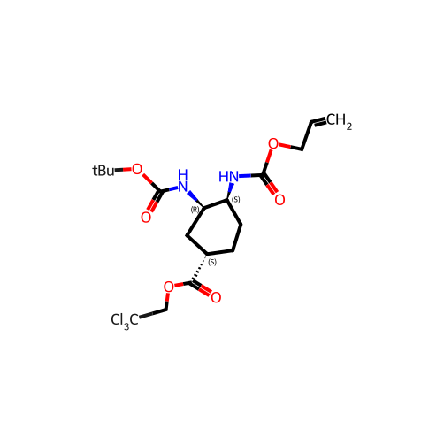 C=CCOC(=O)N[C@H]1CC[C@H](C(=O)OCC(Cl)(Cl)Cl)C[C@H]1NC(=O)OC(C)(C)C